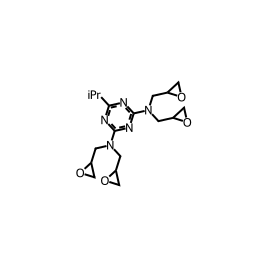 CC(C)c1nc(N(CC2CO2)CC2CO2)nc(N(CC2CO2)CC2CO2)n1